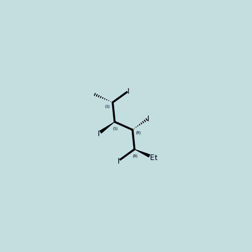 CC[C@@H](I)[C@@H](I)[C@@H](I)[C@H](C)I